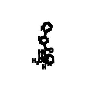 C[C@H]1[C@H](NC(=O)c2cnc(-c3ccccn3)s2)C2CCN1CC2